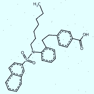 CCCCCCCN(c1ccccc1CCc1ccc(C(=O)O)cc1)S(=O)(=O)c1ccc2ccccc2c1